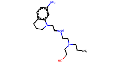 CCCN(CCO)CCNCCN1CCCc2ccc(N)cc21